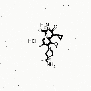 COc1c(N2CC[C@@H]([C@@H](C)N)C2)c(F)cn2c(=O)n(N)c(=O)c(C3CC3)c12.Cl